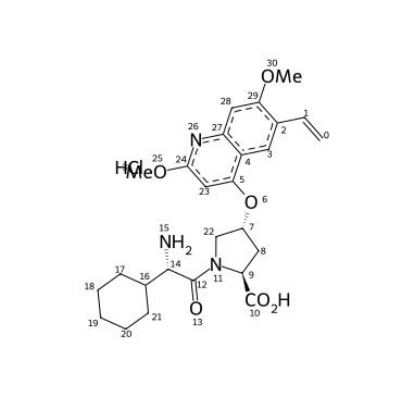 C=Cc1cc2c(O[C@@H]3C[C@@H](C(=O)O)N(C(=O)[C@@H](N)C4CCCCC4)C3)cc(OC)nc2cc1OC.Cl